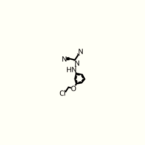 N#CC(C#N)=NNc1cccc(OCCl)c1